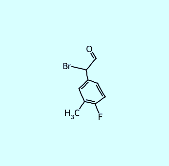 Cc1cc(C(Br)C=O)ccc1F